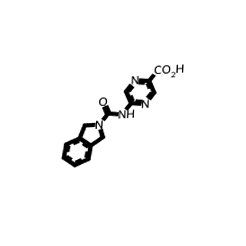 O=C(O)c1cnc(NC(=O)N2Cc3ccccc3C2)cn1